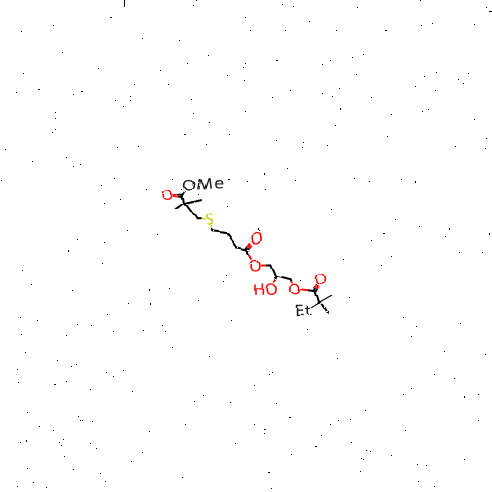 CCC(C)(C)C(=O)OCC(O)COC(=O)CCCSCC(C)(C)C(=O)OC